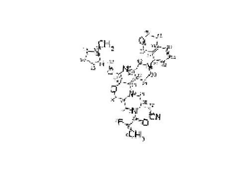 C=C(F)C(=O)N1CC2COc3c(OC[C@@H]4CCCN4C)nc4c(c3N2C[C@@H]1CC#N)CCN(c1cccc2c1COCC2)C4